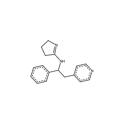 c1ccc(C(Cc2ccncc2)NC2=NCCC2)cc1